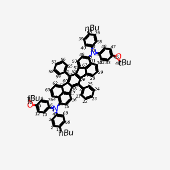 CCCCc1ccc(N(c2ccc(OC(C)(C)C)cc2)c2ccc3c4c(-c5ccccc5)c5c6cccc7c(N(c8ccc(CCCC)cc8)c8ccc(OC(C)(C)C)cc8)ccc(c5c(-c5ccccc5)c4c4cccc2c43)c76)cc1